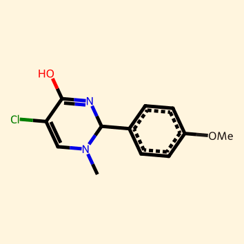 COc1ccc(C2N=C(O)C(Cl)=CN2C)cc1